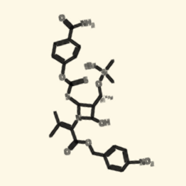 CC(C)=C(C(=O)OCc1ccc([N+](=O)[O-])cc1)N1C(O)C([C@@H](C)O[Si](C)(C)C(C)(C)C)C1SC(=S)Oc1ccc(C(N)=O)cc1